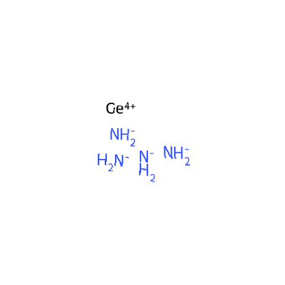 [Ge+4].[NH2-].[NH2-].[NH2-].[NH2-]